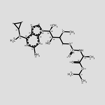 COC(CO[PH](=O)N[C@@H](C)C(=O)OC(C)C)[C@@H](O)[C@H](C)n1cnc2c(N(C)C3CC3)nc(N)nc21